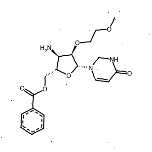 COCCO[C@@H]1[C@H](N)[C@@H](COC(=O)c2ccccc2)O[C@H]1N1C=CC(=O)NC1